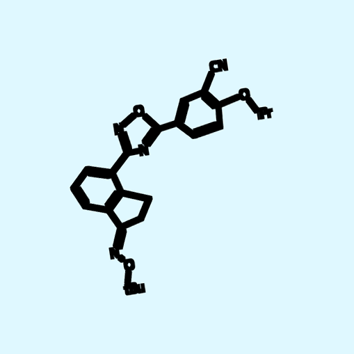 CC(C)Oc1ccc(-c2nc(-c3cccc4c3CCC4=NOC(C)(C)C)no2)cc1C#N